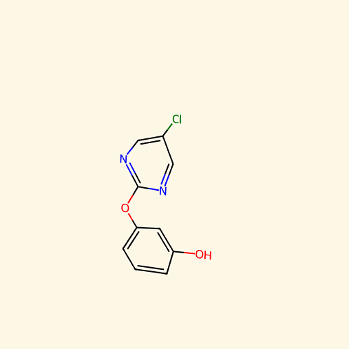 Oc1cccc(Oc2ncc(Cl)cn2)c1